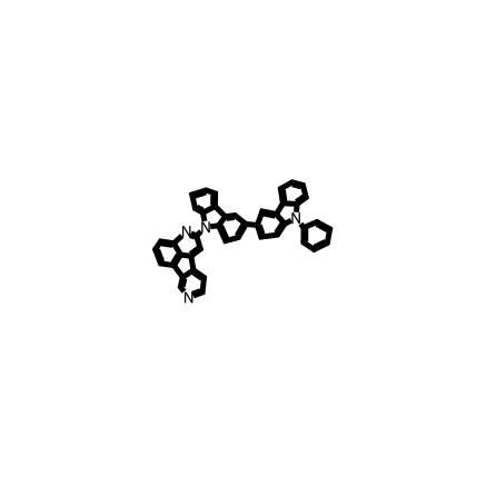 c1ccc(-n2c3ccccc3c3cc(-c4ccc5c(c4)c4ccccc4n5-c4cc5c6c(cccc6n4)-c4cnccc4-5)ccc32)cc1